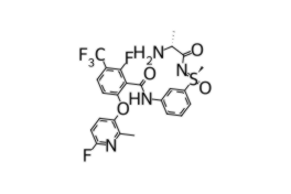 Cc1nc(F)ccc1Oc1ccc(C(F)(F)F)c(F)c1C(=O)Nc1cccc([S@@](C)(=O)=NC(=O)[C@@H](C)N)c1